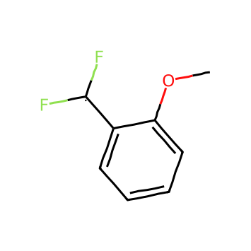 COc1ccccc1[C](F)F